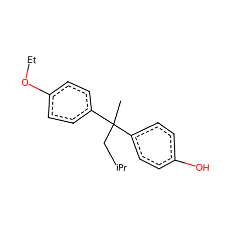 CCOc1ccc(C(C)(CC(C)C)c2ccc(O)cc2)cc1